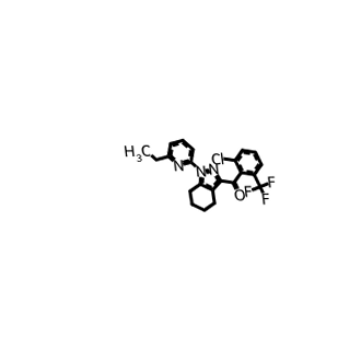 CCc1cccc(-n2nc(C(=O)c3c(Cl)cccc3C(F)(F)F)c3c2CCCC3)n1